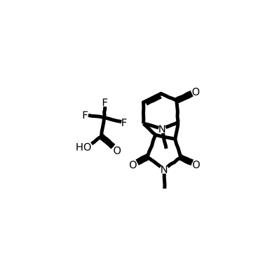 CN1C(=O)C2C(C1=O)C1C(=O)C=CC2N1C.O=C(O)C(F)(F)F